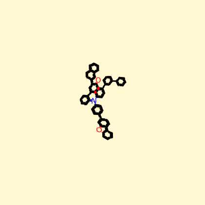 c1ccc(-c2cccc(-c3ccc(N(c4ccc(-c5ccc6c(c5)oc5ccccc56)cc4)c4ccccc4-c4ccc5oc6c7ccccc7ccc6c5c4)cc3)c2)cc1